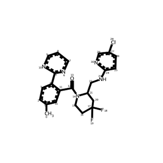 Cc1ccc(-c2ncccn2)c(C(=O)N2CCC(F)(F)CC2CNc2ccc(Cl)cn2)c1